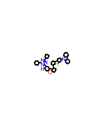 C1=Cc2c(c3ccccc3n2-c2ccc3c(c2)sc2c(-c4cccc5oc6c(c45)=CC(C4N=C(c5ccccc5)N=C(c5ccccc5)N4)CC=6)cccc23)CC1